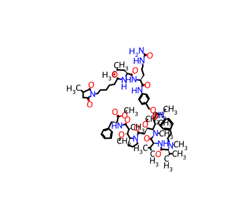 CC[C@H](C)[C@@H]([C@@H](CC(=O)N1CCC[C@H]1[C@H](OC)[C@@H](C)C(=O)N[C@@H](Cc1ccccc1)C(=O)OC)OC)N(C)C(=O)[C@@H](NC(=O)[C@H](C(C)C)N(C)CCc1ccc(N(C)C(=O)OCc2ccc(NC(=O)[C@H](CCCNC(N)=O)NC(=O)[C@H](CC(C)C)NC(=O)CCCCCN3C(=O)CC(C)C3=O)cc2)cc1)C(C)C